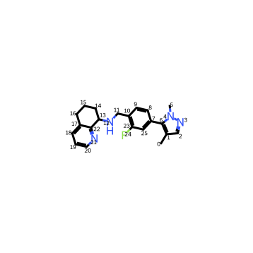 Cc1cnn(C)c1-c1ccc(CNC2CCCc3cccnc32)c(F)c1